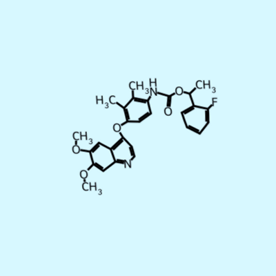 COc1cc2nccc(Oc3ccc(NC(=O)OC(C)c4ccccc4F)c(C)c3C)c2cc1OC